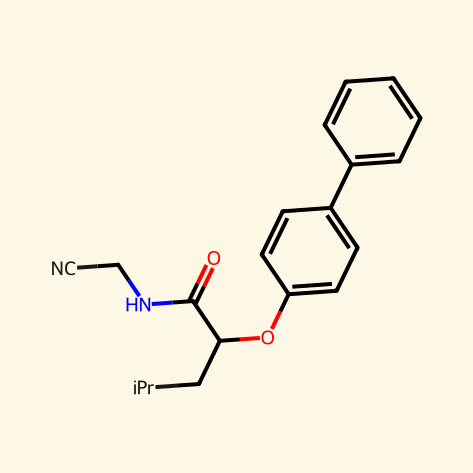 CC(C)CC(Oc1ccc(-c2ccccc2)cc1)C(=O)NCC#N